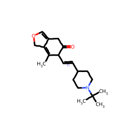 CC1=C2COC=C2CC(=O)C1/C=C/C1CCN(C(C)(C)C)CC1